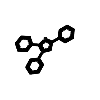 c1ccc(-c2cn(-c3ccccc3)c(-c3ccccc3)n2)cc1